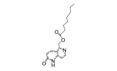 CCCCCCCC(=O)OCc1nccc2[nH]c(=O)ccc12